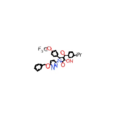 CC(C)c1ccc(C(=O)C2=C(O)C(=O)N(c3ccc(OCc4ccccc4)nn3)C2c2ccc(OC(F)(F)F)cc2)cc1